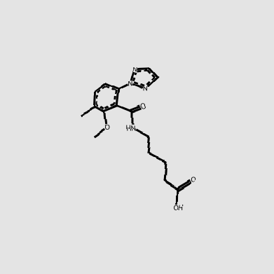 COc1c(C)ccc(-n2nccn2)c1C(=O)NCCCCC(=O)O